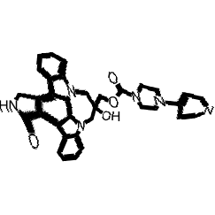 O=C1NCc2c1c1c3ccccc3n3c1c1c2c2ccccc2n1CC(O)(COC(=O)N1CCN(c2ccncc2)CC1)C3